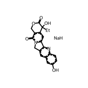 CCC1(O)C(=O)OCc2c1cc1n(c2=O)Cc2cc3cc(O)ccc3nc2-1.[NaH]